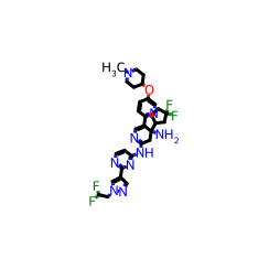 CN1CCC(Oc2ccc(C3=CN=C(Nc4ccnc(-c5cnn(CC(F)F)c5)n4)CC3(N)C3CCC(F)(F)C3)nc2)CC1